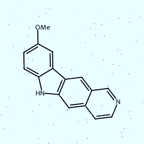 COc1ccc2[nH]c3cc4ccncc4cc3c2c1